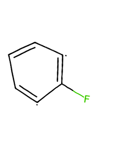 Fc1[c]ccc[c]1